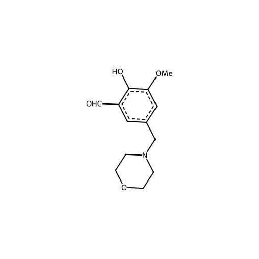 COc1cc(CN2CCOCC2)cc(C=O)c1O